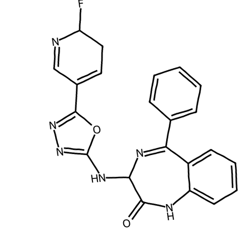 O=C1Nc2ccccc2C(c2ccccc2)=NC1Nc1nnc(C2=CCC(F)N=C2)o1